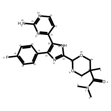 CN(C)C(=O)C1(C)COC(c2nc(-c3ccc(F)cc3)c(-c3ccnc(N)n3)[nH]2)OC1